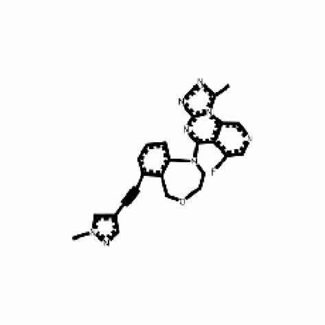 Cc1nnc2nc(N3CCOCc4c(C#Cc5cnn(C)c5)cccc43)c3c(F)cncc3n12